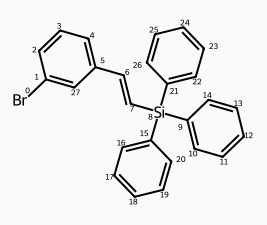 Brc1cccc(C=C[Si](c2ccccc2)(c2ccccc2)c2ccccc2)c1